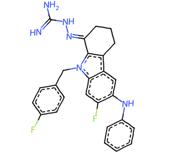 N=C(N)N/N=C1\CCCc2c1n(Cc1ccc(F)cc1)c1cc(F)c(Nc3ccccc3)cc21